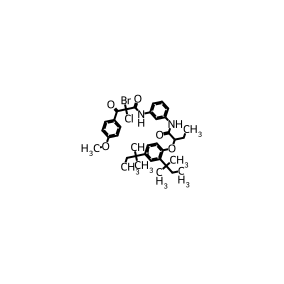 CCC(Oc1ccc(C(C)(C)CC)cc1C(C)(C)CC)C(=O)Nc1cccc(NC(=O)C(Cl)(Br)C(=O)c2ccc(OC)cc2)c1